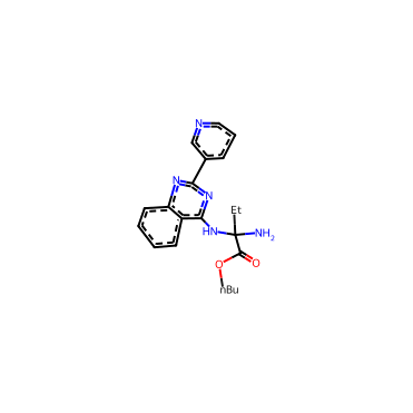 CCCCOC(=O)C(N)(CC)Nc1nc(-c2cccnc2)nc2ccccc12